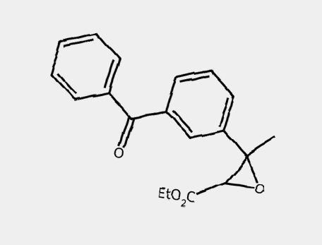 CCOC(=O)C1OC1(C)c1cccc(C(=O)c2ccccc2)c1